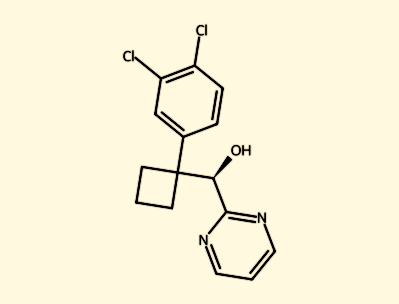 O[C@@H](c1ncccn1)C1(c2ccc(Cl)c(Cl)c2)CCC1